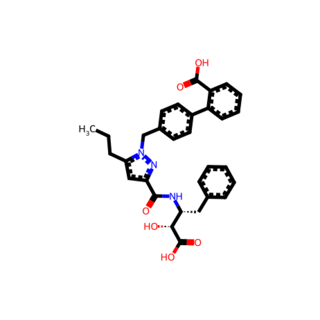 CCCc1cc(C(=O)N[C@H](Cc2ccccc2)[C@@H](O)C(=O)O)nn1Cc1ccc(-c2ccccc2C(=O)O)cc1